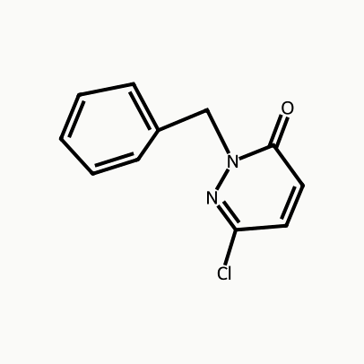 O=c1ccc(Cl)nn1Cc1ccccc1